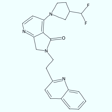 O=C1c2c(N3CCC(C(F)F)C3)ccnc2CN1CCc1ccc2ccccc2n1